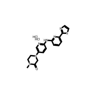 CN1CCN(c2ccc(Nc3cccc(-c4nccs4)n3)nc2)CC1=O.Cl.Cl